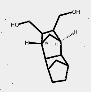 OCC1C(CO)[C@@H]2C[C@@H]1C1C3CCC(C3)C12